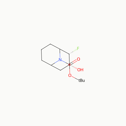 CC(C)(C)OC(=O)N1C2CCCC1[C@H](F)[C@H](O)C2